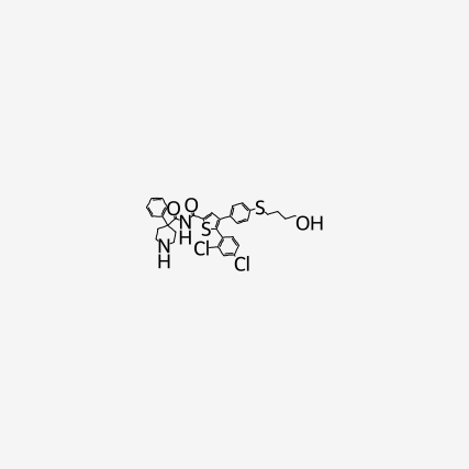 O=C(NC(=O)C1(c2ccccc2)CCNCC1)c1cc(-c2ccc(SCCCCO)cc2)c(-c2ccc(Cl)cc2Cl)s1